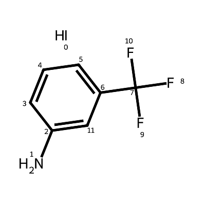 I.Nc1cccc(C(F)(F)F)c1